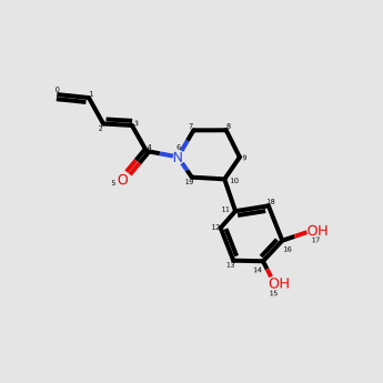 C=CC=CC(=O)N1CCCC(c2ccc(O)c(O)c2)C1